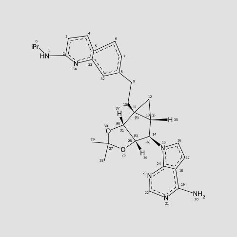 CC(C)Nc1ccc2ccc(CC[C@@]34C[C@@H]3[C@@H](n3ccc5c(N)ncnc53)[C@@H]3OC(C)(C)O[C@@H]34)cc2n1